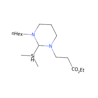 CCCCCCN1CCCN(CCC(=O)OCC)C1[SiH](C)C